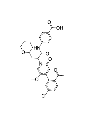 COc1cn(C(CC2CCCCO2)C(=O)Nc2ccc(C(=O)O)cc2)c(=O)cc1-c1cc(Cl)ccc1C(C)=O